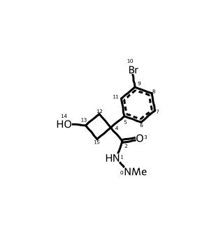 CNNC(=O)C1(c2cccc(Br)c2)CC(O)C1